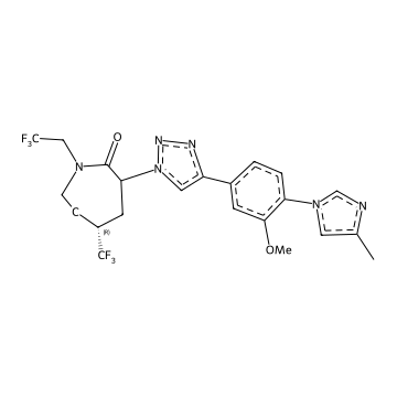 COc1cc(-c2cn(C3C[C@H](C(F)(F)F)CCN(CC(F)(F)F)C3=O)nn2)ccc1-n1cnc(C)c1